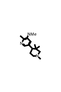 CNc1cc(C2CCN(C)CC2(C)C)cnc1C